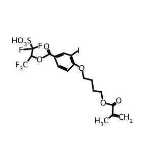 C=C(C)C(=O)OCCCCOc1ccc(C(=O)OC(C(F)(F)F)C(F)(F)S(=O)(=O)O)cc1I